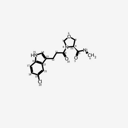 C=NC(=O)[C@@H]1COCN1C(=O)CCc1c[nH]c2ccc(Cl)cc12